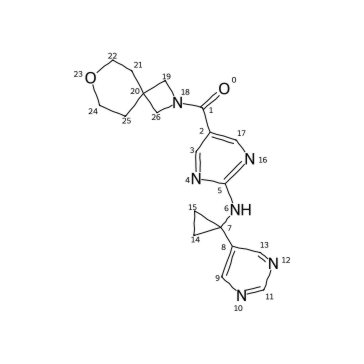 O=C(c1cnc(NC2(c3cncnc3)CC2)nc1)N1CC2(CCOCC2)C1